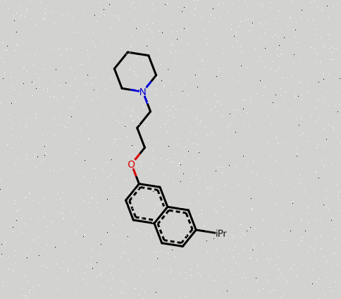 CC(C)c1ccc2ccc(OCCCN3CCCCC3)cc2c1